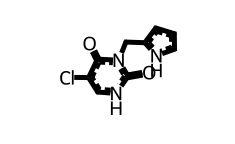 O=c1[nH]cc(Cl)c(=O)n1Cc1ccc[nH]1